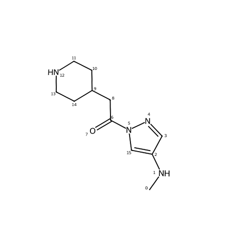 CNc1cnn(C(=O)CC2CCNCC2)c1